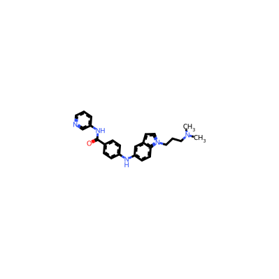 CN(C)CCCn1ccc2cc(Nc3ccc(C(=O)Nc4cccnc4)cc3)ccc21